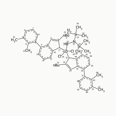 CCCCC1=Cc2c(-c3cccc(C)c3C)cccc2[CH]1[Zr]([Cl])([Cl])([BH]N([Si](C)(C)C)[Si](C)(C)C)[CH]1C(CCCC)=Cc2c(-c3cccc(C)c3C)cccc21